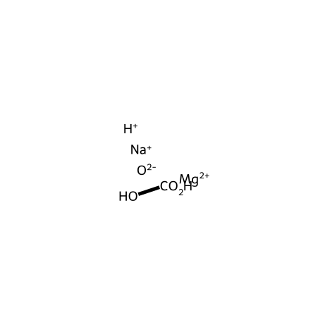 O=C(O)O.[H+].[Mg+2].[Na+].[O-2]